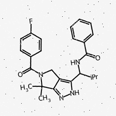 CC(C)C(NC(=O)c1ccccc1)c1[nH]nc2c1CN(C(=O)c1ccc(F)cc1)C2(C)C